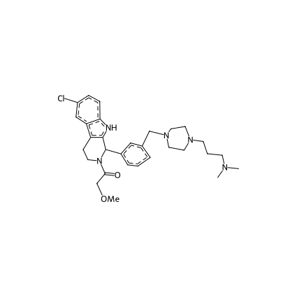 COCC(=O)N1CCc2c([nH]c3ccc(Cl)cc23)C1c1cccc(CN2CCN(CCCN(C)C)CC2)c1